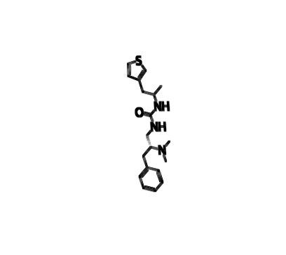 CC(Cc1ccsc1)NC(=O)NC[C@@H](Cc1ccccc1)N(C)C